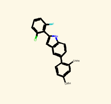 COc1ccc(-c2ccc3[nH]c(-c4c(F)cccc4Cl)cc3c2)c(OC)c1